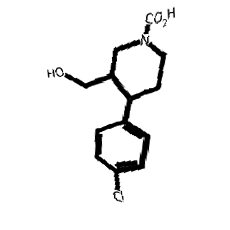 O=C(O)N1CCC(c2ccc(Cl)cc2)C(CO)C1